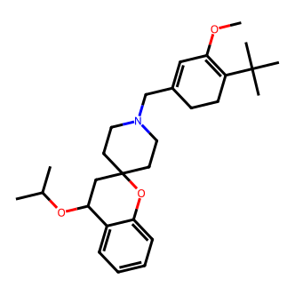 COC1=C(C(C)(C)C)CCC(CN2CCC3(CC2)CC(OC(C)C)c2ccccc2O3)=C1